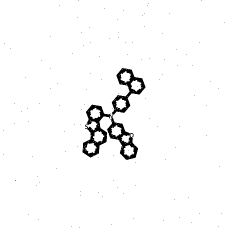 c1ccc2c(-c3ccc(N(c4ccc5c(c4)oc4ccccc45)c4cccc5sc6c7ccccc7ccc6c45)cc3)cccc2c1